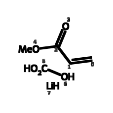 C=CC(=O)OC.O=C(O)O.[LiH]